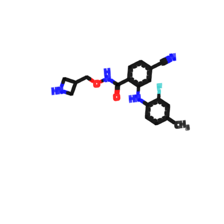 Cc1ccc(Nc2cc(C#N)ccc2C(=O)NOCC2CNC2)c(F)c1